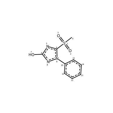 CS(=O)(=O)c1nc(O)nn1-c1ccccc1